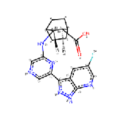 O=C(O)[C@@H]1C2CCC(CC2)[C@H]1Nc1cncc(-c2n[nH]c3ncc(F)cc23)n1